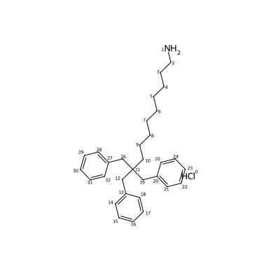 Cl.NCCCCCCCCCC(Cc1ccccc1)(Cc1ccccc1)Cc1ccccc1